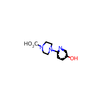 O=C(O)N1CCN(c2ccc(O)cn2)CC1